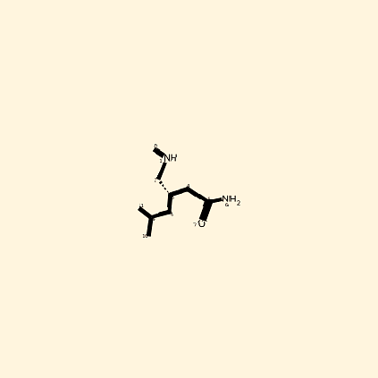 CNC[C@H](CC(N)=O)CC(C)C